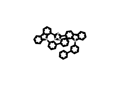 c1ccc(-c2cccc(-n3c4ccccc4c4ccc(-c5nnc(-c6cccc7c8ccccc8n(-c8cccc(-c9ccccc9)c8)c67)s5)cc43)c2)cc1